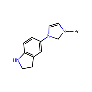 CC(C)N1C=CN(c2ccc3c(c2)CCN3)C1